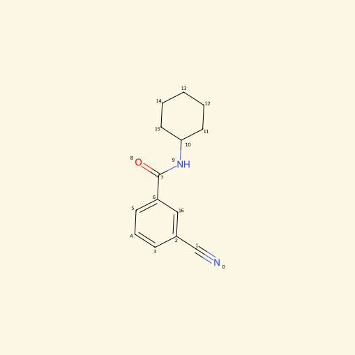 N#Cc1cccc(C(=O)NC2CCCCC2)c1